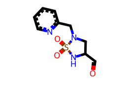 O=CC1CN(Cc2ccccn2)S(=O)(=O)N1